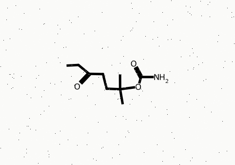 CCC(=O)CCC(C)(C)OC(N)=O